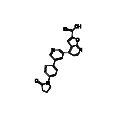 O=C(O)c1cc2c(-c3cncc(-c4ccc(N5CCCC5=O)cc4)c3)ccnc2o1